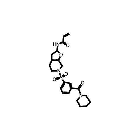 C=CC(=O)NC1CC2CCN(S(=O)(=O)c3cccc(C(=O)N4CCCCC4)c3)CC2O1